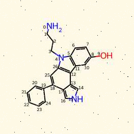 NCCCn1c2ccc(O)cc2c2c3c[nH]cc3c(-c3ccccc3)cc21